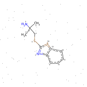 CC(C)(N)CSc1nc2ccccc2s1